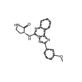 COc1cccc(-c2nc3c4ccccc4nc(N[C@H]4CCNC4=O)n3n2)c1